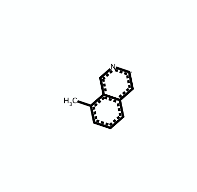 Cc1cccc2c[c]ncc12